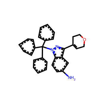 Nc1ccc2c(c1)c(C1=CCOCC1)nn2C(c1ccccc1)(c1ccccc1)c1ccccc1